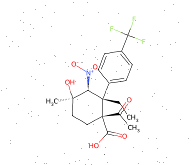 CC[C@]1(c2ccc(C(F)(F)F)cc2)[C@H]([N+](=O)[O-])[C@](C)(O)CC[C@@]1(C(C)=O)C(=O)O